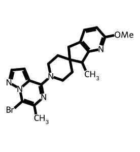 COc1ccc2c(n1)C(C)C1(CCN(c3nc(C)c(Br)n4nccc34)CC1)C2